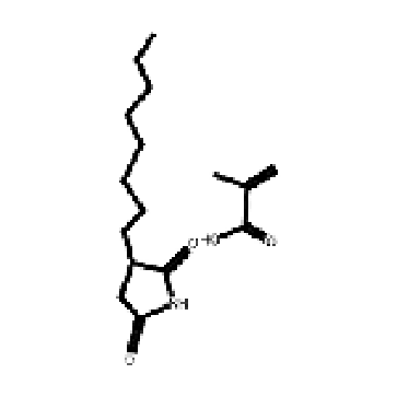 C=C(C)C(=O)O.CCCCCCCCC1CC(=O)NC1=O